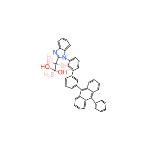 BC(O)(O)C(B)(B)c1nc2ccccc2n1-c1cccc(-c2cccc(-c3c4ccccc4c(-c4ccccc4)c4ccccc34)c2)c1